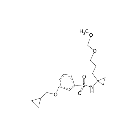 COCOCCCC1(NS(=O)(=O)c2cccc(OCC3CC3)c2)CC1